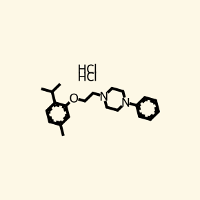 Cc1ccc(C(C)C)c(OCCN2CCN(c3ccccc3)CC2)c1.Cl.Cl